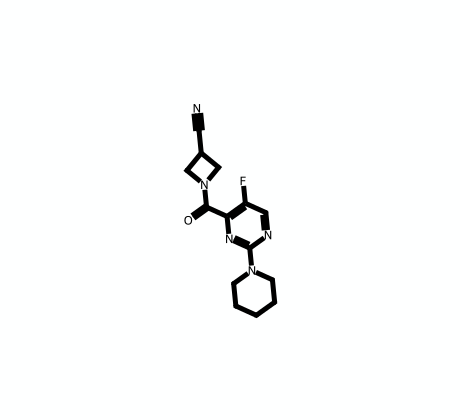 N#CC1CN(C(=O)c2nc(N3CCCCC3)ncc2F)C1